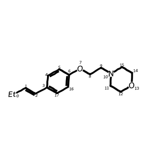 CCC=Cc1ccc(OCCN2CCOCC2)cc1